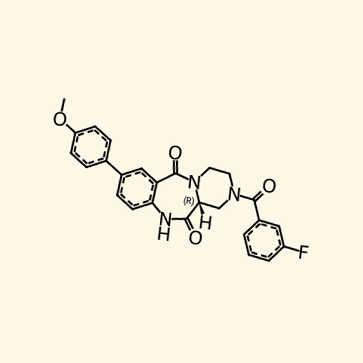 COc1ccc(-c2ccc3c(c2)C(=O)N2CCN(C(=O)c4cccc(F)c4)C[C@@H]2C(=O)N3)cc1